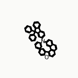 c1ccc(N(c2ccc3c(c2)C(c2ccccc2)(c2ccccc2)c2ccccc2-3)c2ccc3ccc4ccc5oc6ccccc6c5c4c3c2)cc1